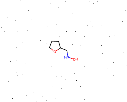 ONCC1CCCO1